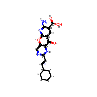 Nc1nc2oc3cnc(/C=C/C4CCCCC4)nc3c(=O)c2cc1C(=O)O